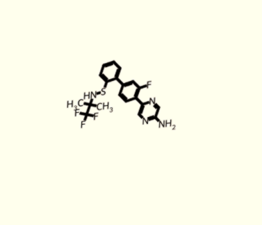 CC(C)(NSc1ccccc1-c1ccc(-c2cnc(N)cn2)c(F)c1)C(F)(F)F